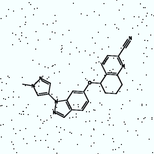 Cn1cc(-n2ncc3ccc(OC4CCCc5nc(C#N)ccc54)cc32)cn1